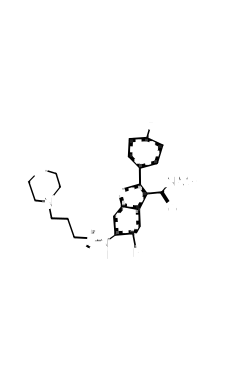 CNC(=O)c1c(-c2ccc(F)cc2)oc2cc(NS(=O)(=O)CCCN3CCOCC3)c(Br)cc12